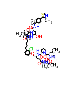 Cc1ncsc1-c1ccc([C@H](C)NC(=O)[C@@H]2C[C@@H](O)CN2C(=O)[C@@H](NC(=O)CCCCc2cccc(OC[C@H](CCC(N)=O)NC(=O)[C@@H]3CCCN3C(=O)[C@H](CC(C)C)NC(=O)OC(C)(C)C)c2Cl)C(C)(C)C)cc1